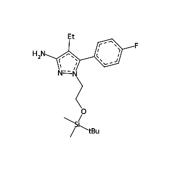 CCc1c(N)nn(CCO[Si](C)(C)C(C)(C)C)c1-c1ccc(F)cc1